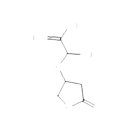 C=C(C)C(O)OC1COC(=O)C1